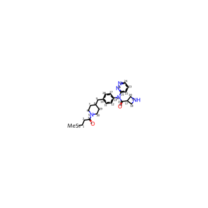 CSCCC(=O)N1CCC(Cc2ccc(N(C(=O)C3CNC3)c3cccnn3)cc2)CC1